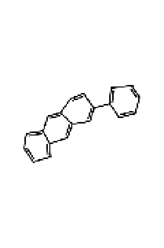 [c]1cccc(-c2ccc3cc4ccccc4cc3c2)c1